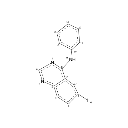 Ic1ccc2ncnc(Nc3ccccc3)c2c1